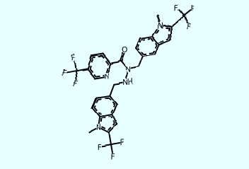 Cn1c(C(F)(F)F)cc2cc(CNN(Cc3ccc4c(c3)cc(C(F)(F)F)n4C)C(=O)c3ccc(C(F)(F)F)cn3)ccc21